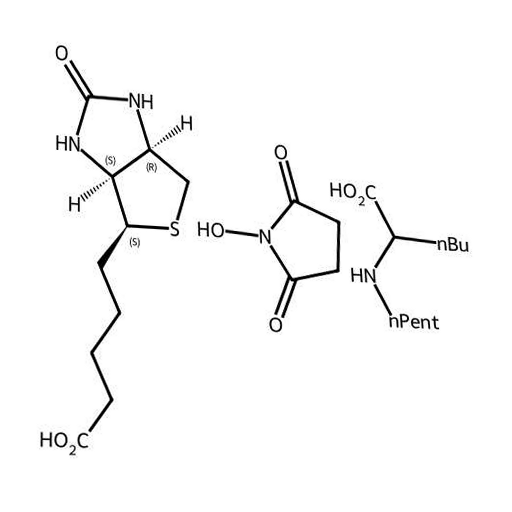 CCCCCNC(CCCC)C(=O)O.O=C(O)CCCC[C@@H]1SC[C@@H]2NC(=O)N[C@@H]21.O=C1CCC(=O)N1O